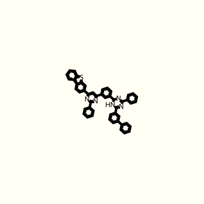 c1ccc(C2=NC(c3cccc(-c4cc(-c5ccc6c(c5)sc5ccccc56)nc(-c5ccccc5)n4)c3)NC(c3cccc(-c4ccccc4)c3)=N2)cc1